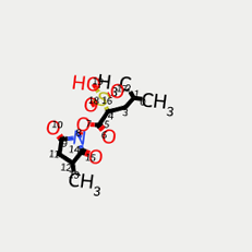 CC(C)CC(C(=O)ON1C(=O)CC(C)C1=O)S(=O)(=O)O